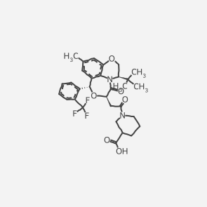 Cc1cc2c3c(c1)[C@@H](c1ccccc1C(F)(F)F)O[C@H](CC(=O)N1CCCC(C(=O)O)C1)C(=O)N3[C@H](C(C)(C)C)CO2